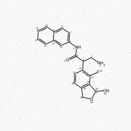 NCC(C(=O)Nc1ccc2cnccc2c1)c1ccc2c(c1F)B(O)OC2